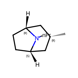 CCCN1[C@@H]2CC[C@H]1C[C@@H](C)C2